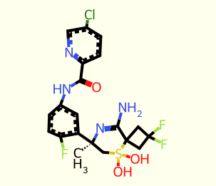 C[C@@]1(c2cc(NC(=O)c3ccc(Cl)cn3)ccc2F)CS(O)(O)C2(CC(F)(F)C2)C(N)=N1